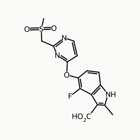 Cc1[nH]c2ccc(Oc3ccnc(CS(C)(=O)=O)n3)c(F)c2c1C(=O)O